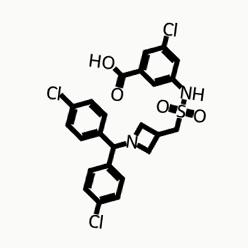 O=C(O)c1cc(Cl)cc(NS(=O)(=O)CC2CN(C(c3ccc(Cl)cc3)c3ccc(Cl)cc3)C2)c1